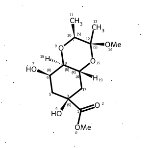 COC(=O)[C@]1(O)C[C@@H](O)[C@H]2O[C@@H](C)[C@@](C)(OC)O[C@@H]2C1